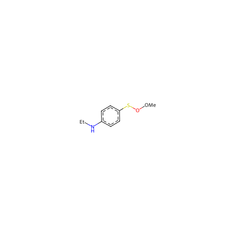 CCNc1ccc(SOOC)cc1